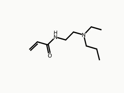 C=CC(=O)NCCN(CC)CCC